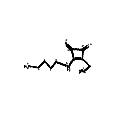 CSCc1c(NCCCCN)c(=S)c1=S